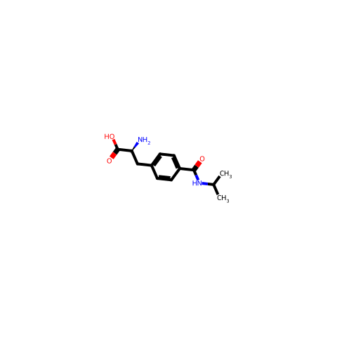 CC(C)NC(=O)c1ccc(C[C@H](N)C(=O)O)cc1